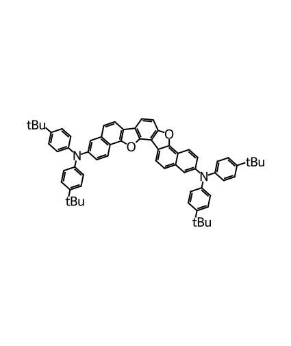 CC(C)(C)c1ccc(N(c2ccc(C(C)(C)C)cc2)c2ccc3c(ccc4c5ccc6oc7c8ccc(N(c9ccc(C(C)(C)C)cc9)c9ccc(C(C)(C)C)cc9)cc8ccc7c6c5oc34)c2)cc1